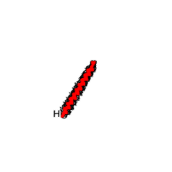 CCC(=O)NCCN(CCN(CCN(CCN(CCN(CCN(CCN(CCN(CCN(CCN(CCN(CCN(CCN(CCN(CCN(CCN(CCN(CCN(CCN(CCSCc1ccccc1)C(=O)CC)C(=O)CC)C(=O)CC)C(=O)CC)C(=O)CC)C(=O)CC)C(=O)CC)C(=O)CC)C(=O)CC)C(=O)CC)C(=O)CC)C(=O)CC)C(=O)CC)C(=O)CC)C(=O)CC)C(=O)CC)C(=O)CC)C(=O)CC)C(=O)CC